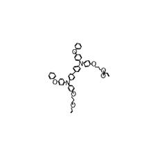 C=CCOCCCOc1ccc(N(c2ccc(Oc3ccccc3)cc2)c2ccc(-c3ccc(N(c4ccc(OCCCOC(=O)C=C)cc4)c4ccc(Oc5ccccc5)cc4)cc3)cc2)cc1